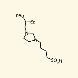 CCCCC(CC)CN1CCN(CCCCS(=O)(=O)O)C1